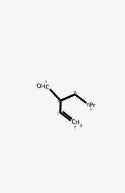 C=CC([C]=O)CCCC